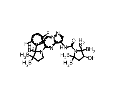 BC1(B)C[C@H](O)C(B)(B)N1C(=O)Nc1cnn2ccc(N3CCC(B)(B)C3(B)c3cc(F)ccc3F)nc12